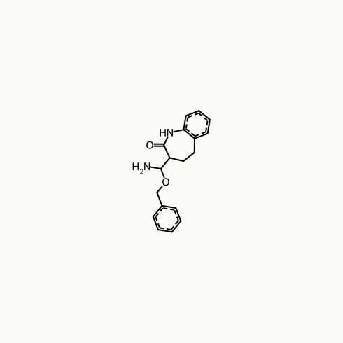 NC(OCc1ccccc1)C1CCc2ccccc2NC1=O